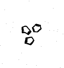 C1=CCC=C1.C1=CCC=C1.c1ccccc1